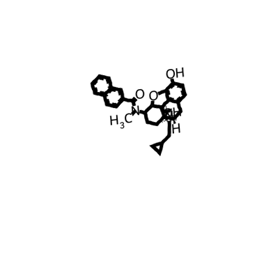 CN(C(=O)c1ccc2ccccc2c1)C1CC[C@@]2(O)[C@H]3Cc4ccc(O)c5c4[C@@]2(CCN3CC2CC2)C1O5